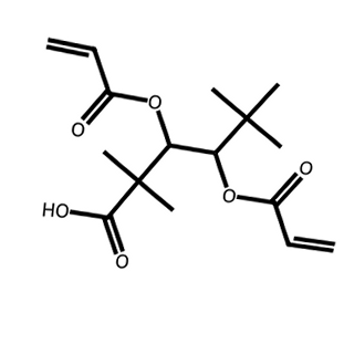 C=CC(=O)OC(C(OC(=O)C=C)C(C)(C)C(=O)O)C(C)(C)C